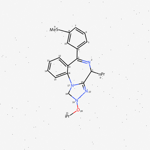 CCCC1N=C(c2cccc(SC)c2)c2ccccc2N2CN(OC(C)C)N=C12